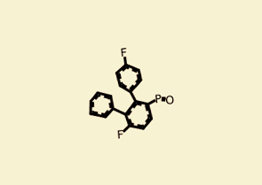 O=Pc1ccc(F)c(-c2ccccc2)c1-c1ccc(F)cc1